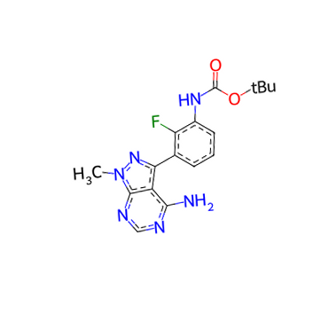 Cn1nc(-c2cccc(NC(=O)OC(C)(C)C)c2F)c2c(N)ncnc21